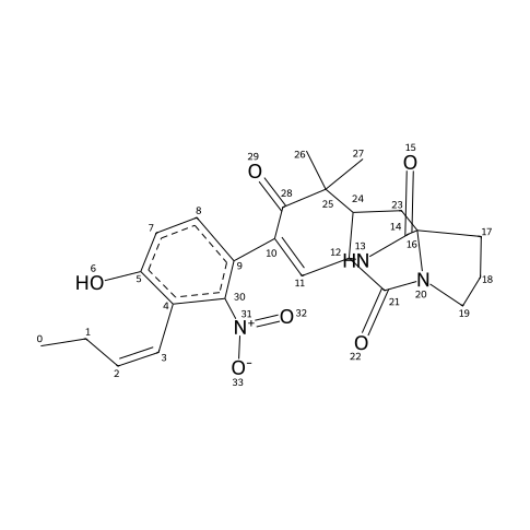 CC/C=C\c1c(O)ccc(C2=CC34NC(=O)C5(CCCN5C3=O)CC4C(C)(C)C2=O)c1[N+](=O)[O-]